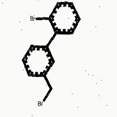 BrCc1cccc(-c2ccccc2Br)c1